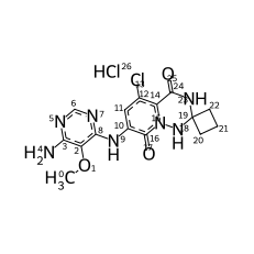 COc1c(N)ncnc1Nc1cc(Cl)c2n(c1=O)NC1(CCC1)NC2=O.Cl